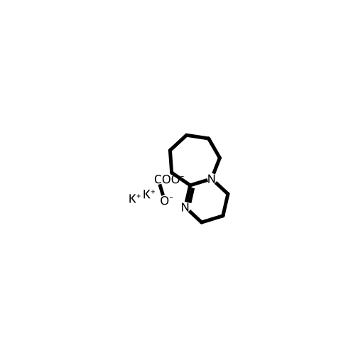 C1CCC2=NCCCN2CC1.O=C([O-])[O-].[K+].[K+]